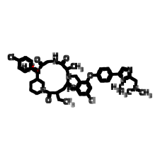 CC1C(=O)NCC(=O)N(C)C2(Cc3ccc(Cl)cc3)CCCN(C2)C(=O)C(CC(F)(F)F)CC(=O)N1Cc1c(F)cc(Cl)cc1Oc1ccc(-c2cnc(CN(C)C)n2C)cc1